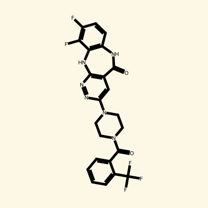 O=C1Nc2ccc(F)c(F)c2Nc2nnc(N3CCN(C(=O)c4ccccc4C(F)(F)F)CC3)cc21